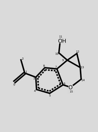 C=C(C)c1ccc2c(c1)C1(CO)CC1CO2